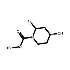 CCC1C[C@@H](O)CCN1C(=O)OC(C)(C)C